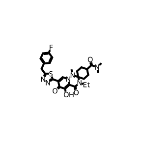 CCN1C(=O)c2c(O)c(=O)c(-c3nnc(Cc4ccc(F)cc4)s3)cn2N(C)C12CCC(C(=O)N(C)C)CC2